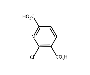 O=C(O)c1ccc(C(=O)O)c(Cl)n1